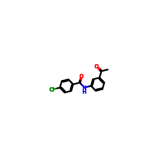 CC(=O)c1cccc(NC(=O)c2ccc(Cl)cc2)c1